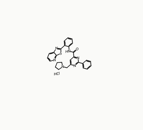 Cl.O=C(Nc1ccccc1-c1nc2cccnc2s1)c1cc(CN2CCCC2)nc(-c2ccccc2)n1